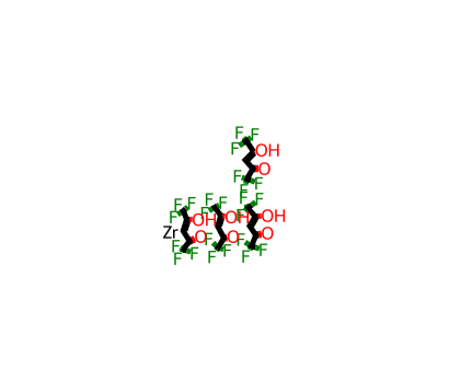 O=C(/C=C(\O)C(F)(F)F)C(F)(F)F.O=C(/C=C(\O)C(F)(F)F)C(F)(F)F.O=C(/C=C(\O)C(F)(F)F)C(F)(F)F.O=C(/C=C(\O)C(F)(F)F)C(F)(F)F.[Zr]